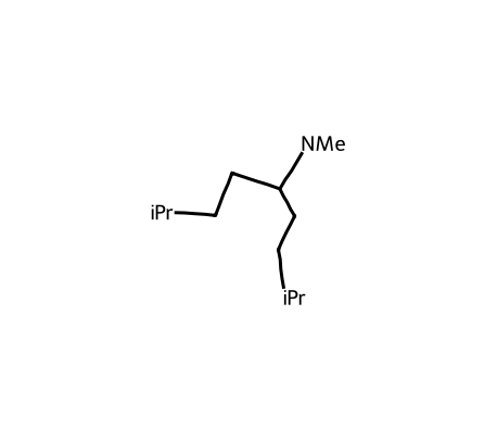 CNC(CCC(C)C)CCC(C)C